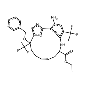 CCOC(=O)C1CC=CCCC(OCc2ccccc2)(C(F)(F)F)c2nnc(o2)-c2nc(c(C(F)(F)F)cc2N)N1